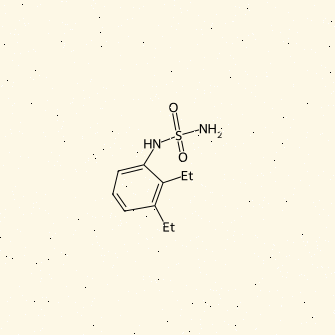 CCc1cccc(NS(N)(=O)=O)c1CC